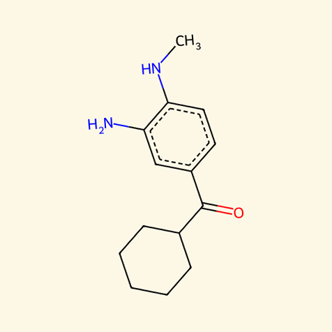 CNc1ccc(C(=O)C2CCCCC2)cc1N